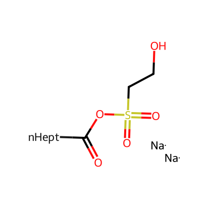 CCCCCCCC(=O)OS(=O)(=O)CCO.[Na].[Na]